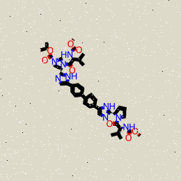 COC(=O)N[C@H](C(=O)N1CC=C[C@H]1c1ncc(-c2ccc(-c3ccc(-c4cnc([C@@H]5CN(C(=O)OC(C)C)CN5C(=O)[C@@H](NC(=O)OC)C(C)C)[nH]4)cc3)cc2)[nH]1)C(C)C